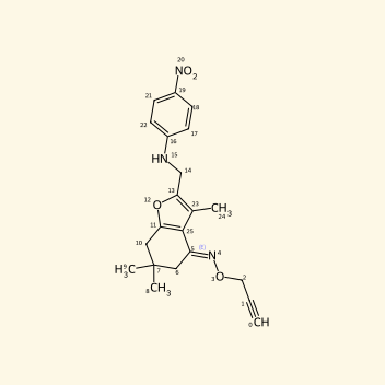 C#CCO/N=C1\CC(C)(C)Cc2oc(CNc3ccc([N+](=O)[O-])cc3)c(C)c21